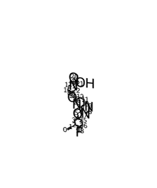 C#Cc1cc(Oc2ncnc3ccc(O[C@H]4CCN(C(=O)O)C4)nc23)ccc1F